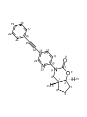 O=C1O[C@H]2CCC[C@@H]2CN1c1ccc(C#Cc2ccccc2)cn1